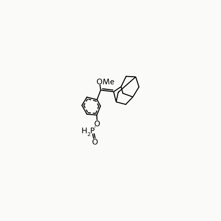 COC(=C1C2CC3CC(C2)CC1C3)c1cccc(O[PH2]=O)c1